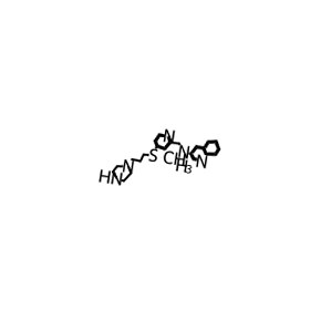 Cc1c(SCCCN2CCNCC2)ccnc1CNc1cnc2ccccc2c1